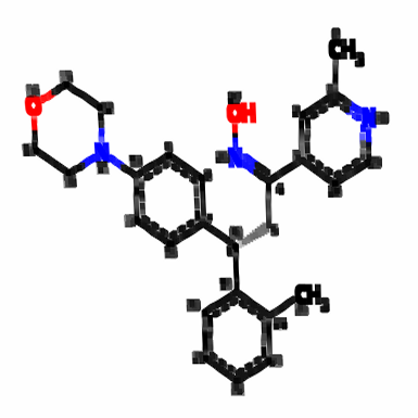 Cc1cc(C(C[C@@H](c2ccc(N3CCOCC3)cc2)c2ccccc2C)=NO)ccn1